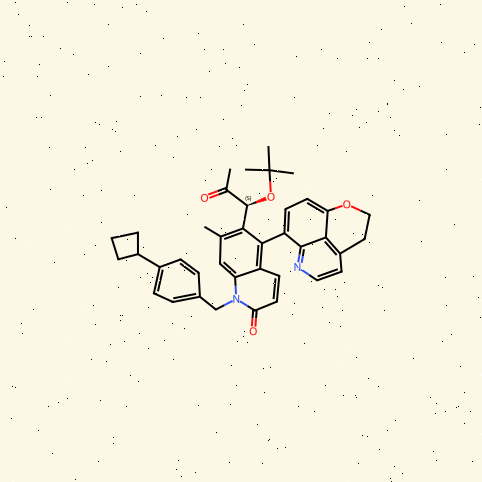 CC(=O)[C@@H](OC(C)(C)C)c1c(C)cc2c(ccc(=O)n2Cc2ccc(C3CCC3)cc2)c1-c1ccc2c3c(ccnc13)CCO2